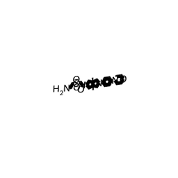 C[C@@]12CN(C(=O)CS(=O)(=O)CCN)C[C@]1(C)CN(c1ccc(N3CCOCC3)cc1)C2